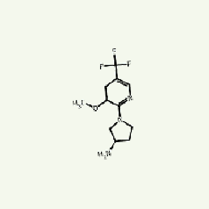 COC1CC(C(F)(F)F)=CN=C1N1CC[C@@H](N)C1